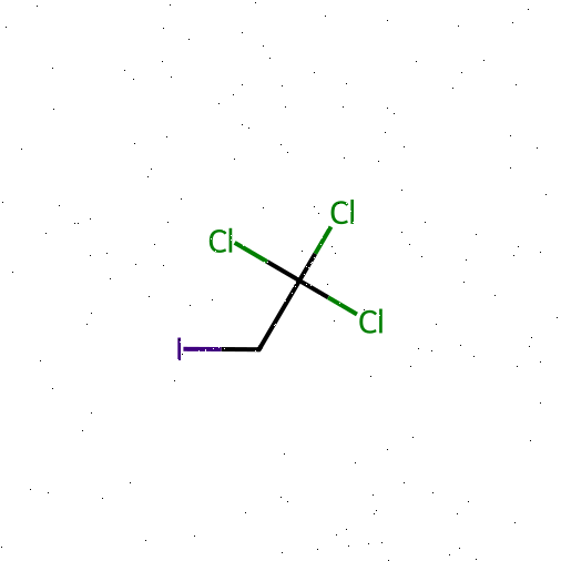 ClC(Cl)(Cl)CI